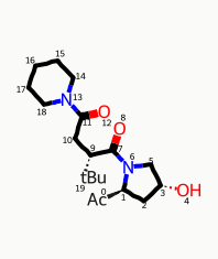 CC(=O)[C@@H]1C[C@@H](O)CN1C(=O)[C@@H](CC(=O)N1CCCCC1)C(C)(C)C